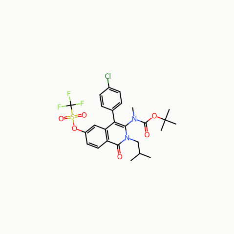 CC(C)Cn1c(N(C)C(=O)OC(C)(C)C)c(-c2ccc(Cl)cc2)c2cc(OS(=O)(=O)C(F)(F)F)ccc2c1=O